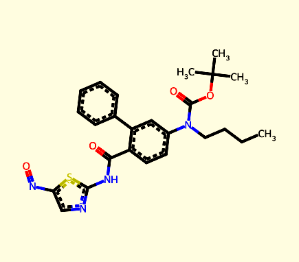 CCCCN(C(=O)OC(C)(C)C)c1ccc(C(=O)Nc2ncc(N=O)s2)c(-c2ccccc2)c1